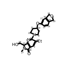 CCc1cc2c(nc1N1CCC(Oc3ccc4c(c3)COC4)CC1)C(CO)N(C)C2=O